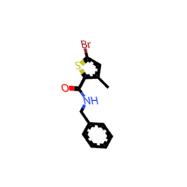 Cc1cc(Br)sc1C(=O)NCc1ccccc1